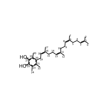 CC(C)=CCCC(C)=CCCC(C)=CCCC(C)=CCc1c(C)c(C)c(O)c(O)c1C